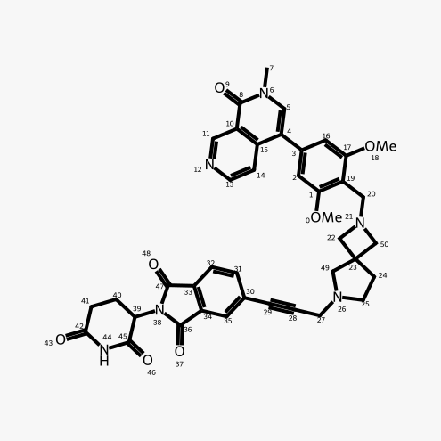 COc1cc(-c2cn(C)c(=O)c3cnccc23)cc(OC)c1CN1CC2(CCN(CC#Cc3ccc4c(c3)C(=O)N(C3CCC(=O)NC3=O)C4=O)C2)C1